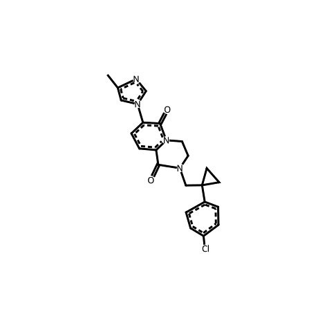 Cc1cn(-c2ccc3n(c2=O)CCN(CC2(c4ccc(Cl)cc4)CC2)C3=O)cn1